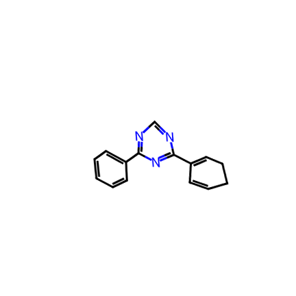 C1=CC(c2ncnc(-c3ccccc3)n2)=CCC1